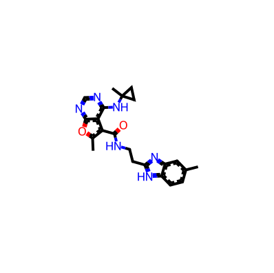 Cc1ccc2[nH]c(CCNC(=O)c3c(C)oc4ncnc(NC5(C)CC5)c34)nc2c1